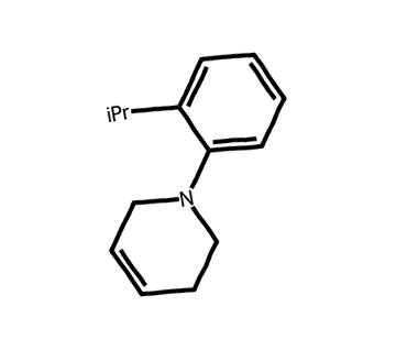 CC(C)c1ccccc1N1CC=CCC1